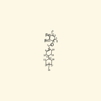 Cc1cc(C)c(OCC2=CCC(C3CCC(C)CC3)CC2)c(F)c1F